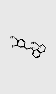 CCCc1ccc(CNc2cccc3c2N(CCC)CCC3)cc1F